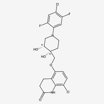 O=C1CCc2c(OC[C@]3(O)CCN(c4cc(F)c(Cl)cc4F)C[C@H]3O)ccc(Cl)c2N1